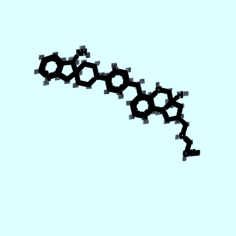 COCOC[C@@H]1C[C@H]2COc3c(Sc4cnc(N5CCC6(CC5)Cc5ncccc5[C@H]6N)cn4)ccnc3N2C1